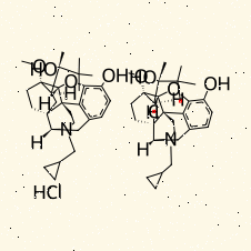 CO[C@@]12CC[C@@]3(C[C@@H]1[C@](C)(O)C(C)(C)C)[C@H]1Cc4ccc(O)c5c4[C@@]3(CCN1CC1CC1)[C@H]2O5.CO[C@@]12CC[C@@]3(C[C@@H]1[C@](C)(O)C(C)(C)C)[C@H]1Cc4ccc(O)c5c4[C@@]3(CCN1CC1CC1)[C@H]2O5.Cl